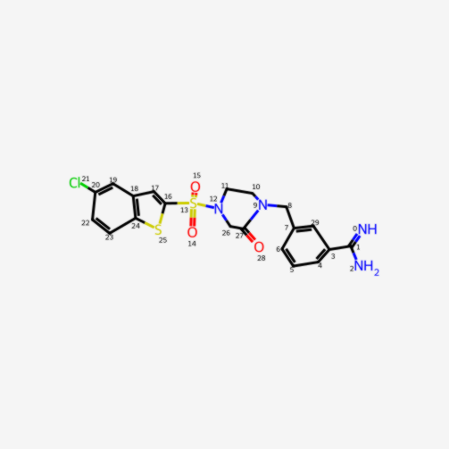 N=C(N)c1cccc(CN2CCN(S(=O)(=O)c3cc4cc(Cl)ccc4s3)CC2=O)c1